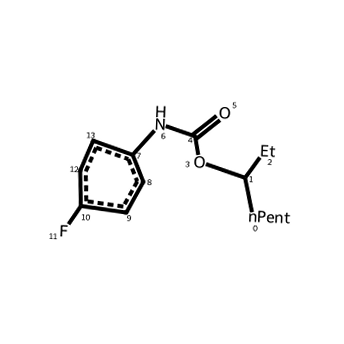 CCCCCC(CC)OC(=O)Nc1ccc(F)cc1